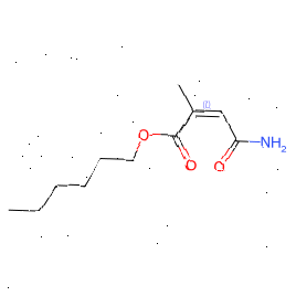 CCCCCCOC(=O)/C(C)=C\C(N)=O